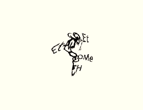 C#CCOc1cc2c(cc1OC)-c1cc(=O)c(C(=O)OCC)cn1C(CC)C2